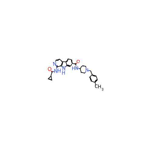 Cc1ccc(CN2CCC(NC(=O)c3ccc4c(c3)[nH]c3c(NC(=O)C5CC5)nccc34)CC2)cc1